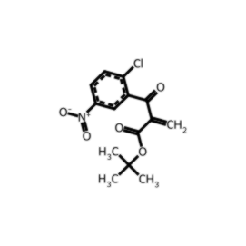 C=C(C(=O)OC(C)(C)C)C(=O)c1cc([N+](=O)[O-])ccc1Cl